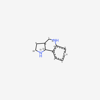 c1ccc2c(c1)NCC1CCNC21